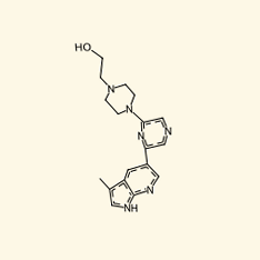 Cc1c[nH]c2ncc(-c3cncc(N4CCN(CCO)CC4)n3)cc12